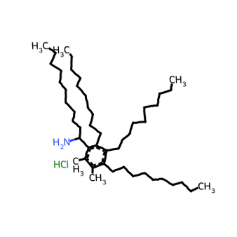 CCCCCCCCCCc1c(C)c(C)c(C(N)CCCCCCCCCC)c(CCCCCCCCCC)c1CCCCCCCCCC.Cl